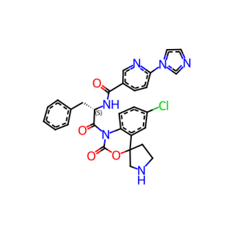 O=C(N[C@@H](Cc1ccccc1)C(=O)N1C(=O)OC2(CCNC2)c2cc(Cl)ccc21)c1ccc(-n2ccnc2)nc1